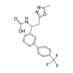 Cc1nnc(CC(NC(=O)O)c2cccc(-c3ccc(C(F)(F)F)cc3)c2)o1